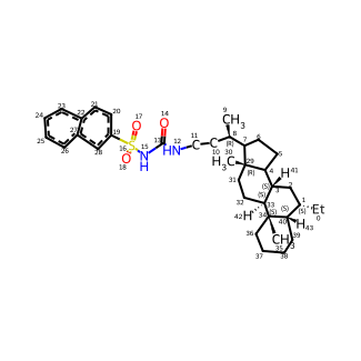 CC[C@H]1C[C@H]2C3CCC([C@H](C)CCNC(=O)NS(=O)(=O)c4ccc5ccccc5c4)[C@@]3(C)CC[C@@H]2[C@@]2(C)CCCC[C@@H]12